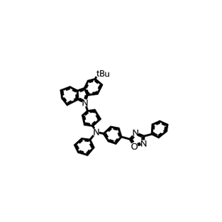 CC(C)(C)c1ccc2c(c1)c1ccccc1n2-c1ccc(N(c2ccccc2)c2ccc(-c3nc(-c4ccccc4)no3)cc2)cc1